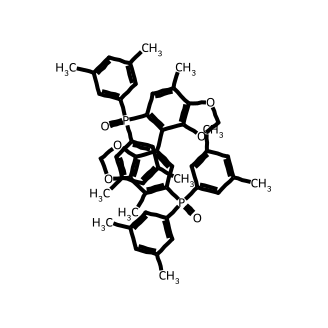 Cc1cc(C)cc(P(=O)(c2cc(C)cc(C)c2)c2cc(-c3c(P(=O)(c4cc(C)cc(C)c4)c4cc(C)cc(C)c4)cc(C)c4c3OCO4)c3c(c2C)OCO3)c1